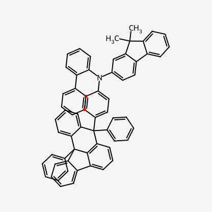 CC1(C)c2ccccc2-c2ccc(N(c3ccc(C4(c5ccccc5)c5ccccc5C5(c6ccccc6)c6ccccc6-c6cccc4c65)cc3)c3ccccc3-c3ccccc3)cc21